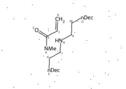 C=CC(=O)NC.CCCCCCCCCCCCNCCCCCCCCCCCC